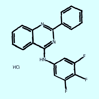 Cl.Fc1cc(Nc2nc(-c3ccccc3)nc3ccccc23)cc(F)c1F